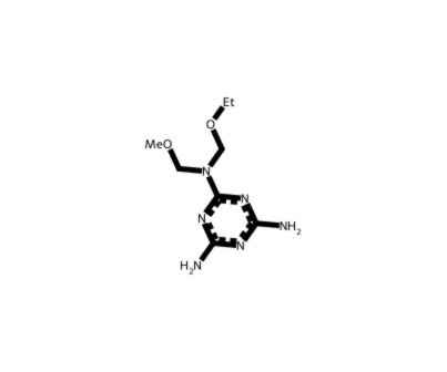 CCOCN(COC)c1nc(N)nc(N)n1